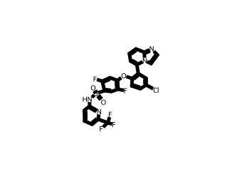 O=S(=O)(Nc1cccc(C(F)(F)F)n1)c1cc(F)c(Oc2ccc(Cl)cc2-c2cccc3nccn23)cc1F